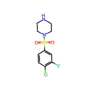 O=S(=O)(c1ccc(Cl)c(F)c1)N1CCNCC1